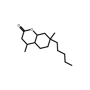 CCCCCC1(C)CCC2C(C)CC(=O)OC2C1